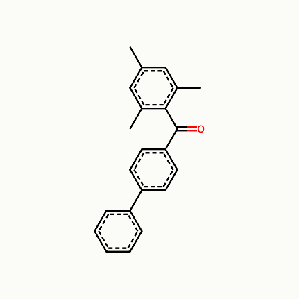 Cc1cc(C)c(C(=O)c2ccc(-c3ccccc3)cc2)c(C)c1